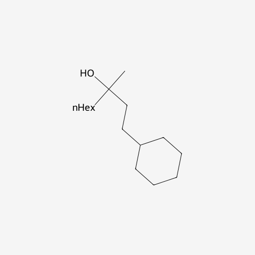 CCCCCCC(C)(O)CCC1CCCCC1